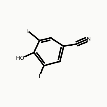 N#Cc1cc(I)c(O)c(I)c1